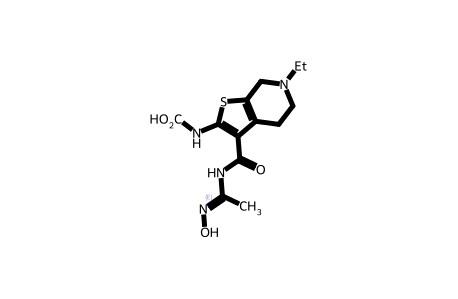 CCN1CCc2c(sc(NC(=O)O)c2C(=O)N/C(C)=N/O)C1